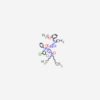 CCCCCN(CCCCC)C(=O)N1CCN(C(=O)N(c2ccccc2)c2cc(Cl)cc(Cl)c2)[C@H](C(=O)NCCN(C)Cc2ccccc2OC)C1